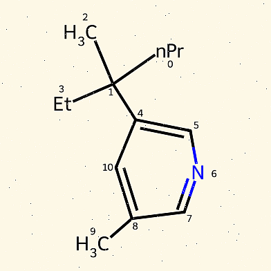 CCCC(C)(CC)c1cncc(C)c1